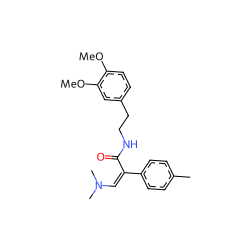 COc1ccc(CCNC(=O)/C(=C\N(C)C)c2ccc(C)cc2)cc1OC